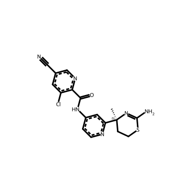 C[C@@]1(c2cc(NC(=O)c3ncc(C#N)cc3Cl)ccn2)CCSC(N)=N1